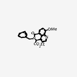 CCOC(=O)C1c2ccnc3c(OC)ccc(c23)C(=O)N1Cc1ccccc1